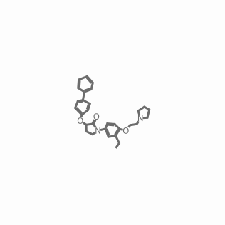 CCc1cc(N2CCC(Oc3ccc(-c4ccccc4)cc3)C2=O)ccc1OCCN1CCCC1